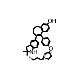 CC1(C)Cc2cc(C3=C(c4ccc(O[C@H]5CCN(CCCF)C5)cc4)c4ccc(O)cc4CCC3)ccc2N1